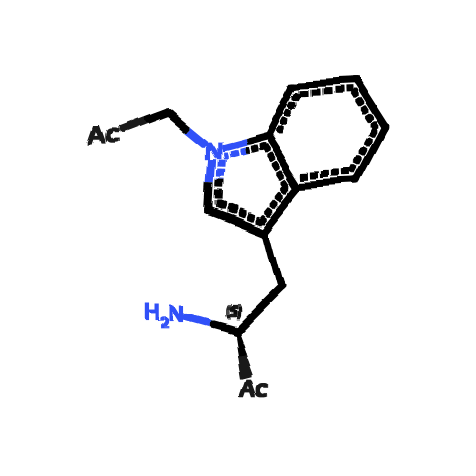 CC(=O)Cn1cc(C[C@H](N)C(C)=O)c2ccccc21